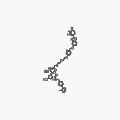 Cc1ncsc1-c1ccc(CNC(=O)[C@@H]2C[C@@H](O)CN2C(=O)[C@@H](NC(=O)COCCOCCOc2ccc(COc3ccc4oc(C5C=CC(=O)N(C)N5)nc4c3)nc2)C(C)(C)C)cc1